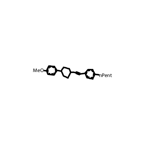 CCCCCc1ccc(C#CC2CCC(c3ccc(OC)cc3)CC2)cc1